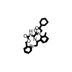 Cc1cccc2c1N(CC(=O)C1CCCCC1)C(=O)C(NC(=O)OCc1ccccc1)N=C2CC(C)C